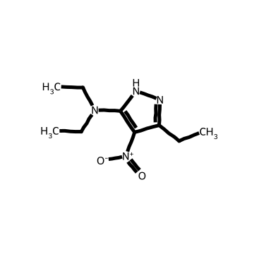 CCc1n[nH]c(N(CC)CC)c1[N+](=O)[O-]